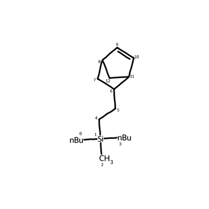 CCCC[Si](C)(CCCC)CCC1CC2C=CC1C2